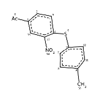 CC(=O)c1ccc(Sc2ccc(C)cc2)c([N+](=O)[O-])c1